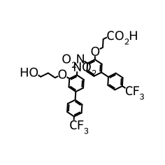 O=C(O)CCOc1cc(-c2ccc(C(F)(F)F)cc2)ccc1[N+](=O)[O-].O=[N+]([O-])c1ccc(-c2ccc(C(F)(F)F)cc2)cc1OCCCO